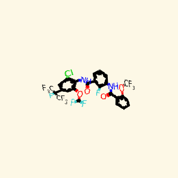 O=C(Nc1cccc(C(=O)Nc2c(Cl)cc(C(F)(C(F)(F)F)C(F)(F)F)cc2OC(F)F)c1F)c1ccccc1OC(F)(F)F